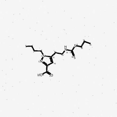 CCCCn1nc(C(=O)O)cc1CCNC(=S)SCCC